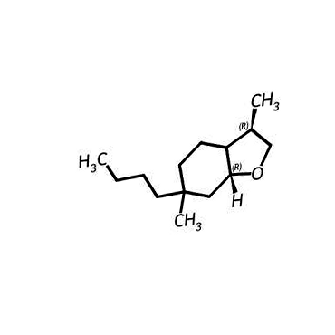 CCCCC1(C)CCC2[C@@H](C)CO[C@@H]2C1